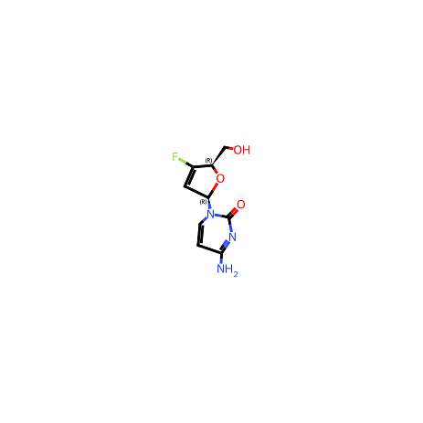 Nc1ccn([C@H]2C=C(F)[C@@H](CO)O2)c(=O)n1